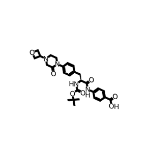 CC(C)(C)OC(=O)N[C@@H](Cc1ccc(N2CCN(C3COC3)CC2=O)cc1)C(=O)Nc1ccc(C(=O)O)cc1